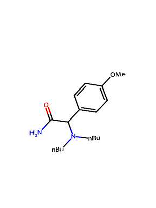 CCCCN(CCCC)C(C(N)=O)c1ccc(OC)cc1